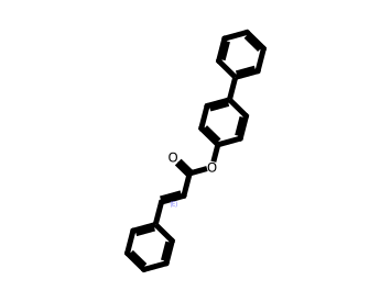 O=C(/C=C/c1ccccc1)Oc1ccc(-c2ccccc2)cc1